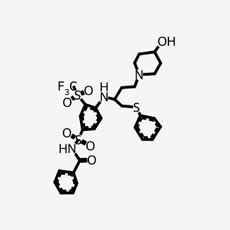 O=C(NS(=O)(=O)c1ccc(NC(CCN2CCC(O)CC2)CSc2ccccc2)c(S(=O)(=O)C(F)(F)F)c1)c1ccccc1